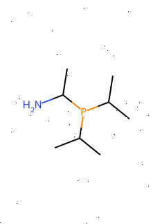 CC(C)P(C(C)C)C(C)N